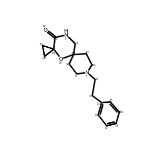 O=C1NCC2(CCN(CCc3ccccc3)CC2)OC12CC2